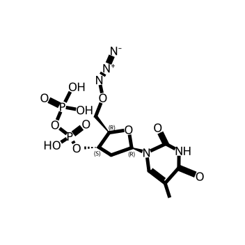 Cc1cn([C@H]2C[C@H](OP(=O)(O)OP(=O)(O)O)[C@@H](CON=[N+]=[N-])O2)c(=O)[nH]c1=O